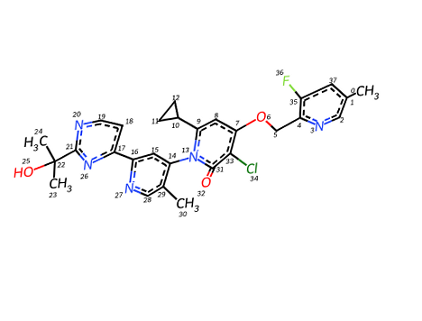 Cc1cnc(COc2cc(C3CC3)n(-c3cc(-c4ccnc(C(C)(C)O)n4)ncc3C)c(=O)c2Cl)c(F)c1